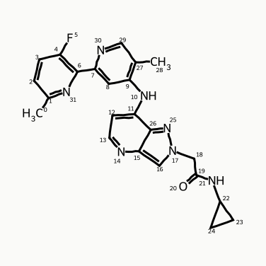 Cc1ccc(F)c(-c2cc(Nc3ccnc4cn(CC(=O)NC5CC5)nc34)c(C)cn2)n1